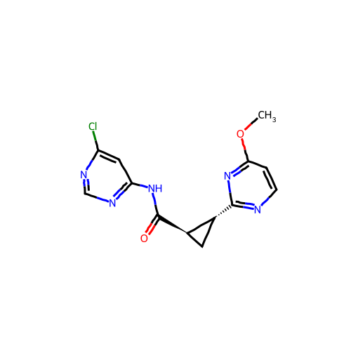 COc1ccnc([C@@H]2C[C@H]2C(=O)Nc2cc(Cl)ncn2)n1